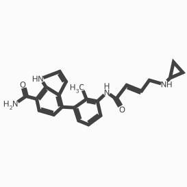 Cc1c(NC(=O)C=CCNC2CC2)cccc1-c1ccc(C(N)=O)c2[nH]ccc12